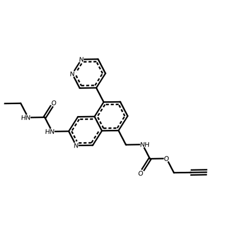 C#CCOC(=O)NCc1ccc(-c2ccnnc2)c2cc(NC(=O)NCC)ncc12